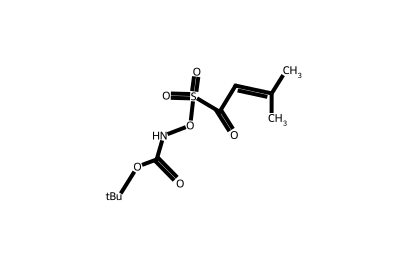 CC(C)=CC(=O)S(=O)(=O)ONC(=O)OC(C)(C)C